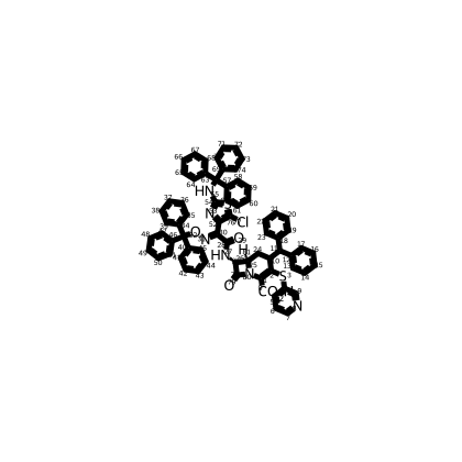 O=C(O)C1=C(Sc2cccnc2)C(C(c2ccccc2)c2ccccc2)C[C@@H]2[C@H](NC(=O)C(=NOC(c3ccccc3)(c3ccccc3)c3ccccc3)c3nc(NC(c4ccccc4)(c4ccccc4)c4ccccc4)sc3Cl)C(=O)N12